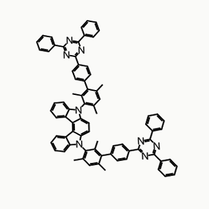 Cc1cc(C)c(-n2c3ccccc3c3c4c5ccccc5n(-c5c(C)cc(C)c(-c6ccc(-c7nc(-c8ccccc8)nc(-c8ccccc8)n7)cc6)c5C)c4ccc32)c(C)c1-c1ccc(-c2nc(-c3ccccc3)nc(-c3ccccc3)n2)cc1